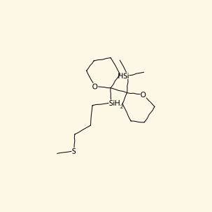 CSCCC[SiH2]C1(C2([SiH](C)C)CCCCO2)CCCCO1